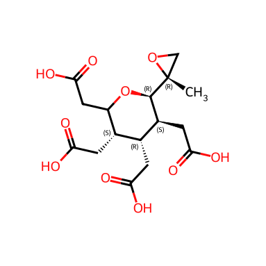 C[C@]1([C@@H]2OC(CC(=O)O)[C@@H](CC(=O)O)[C@@H](CC(=O)O)[C@@H]2CC(=O)O)CO1